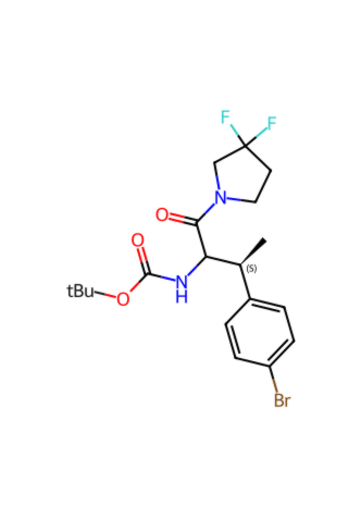 C[C@@H](c1ccc(Br)cc1)C(NC(=O)OC(C)(C)C)C(=O)N1CCC(F)(F)C1